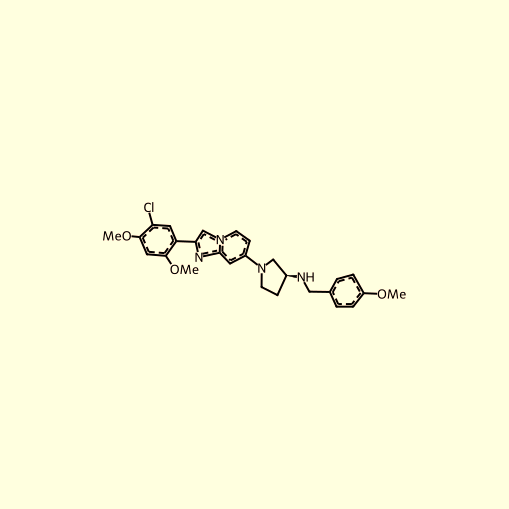 COc1ccc(CN[C@H]2CCN(c3ccn4cc(-c5cc(Cl)c(OC)cc5OC)nc4c3)C2)cc1